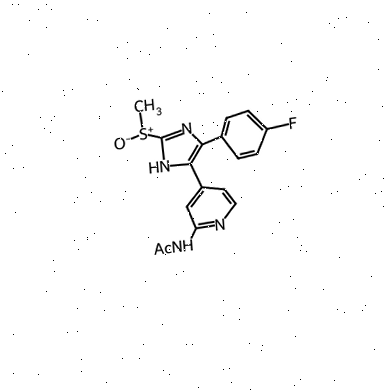 CC(=O)Nc1cc(-c2[nH]c([S+](C)[O-])nc2-c2ccc(F)cc2)ccn1